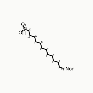 CCCCCCCCCCCCCCCCCCCCC[SH](=O)=O